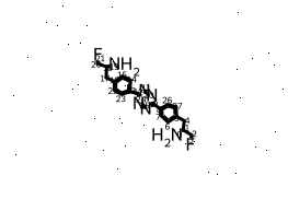 NC(CF)Cc1ccc(-c2nnc(-c3ccc(CC(N)CF)cc3)nn2)cc1